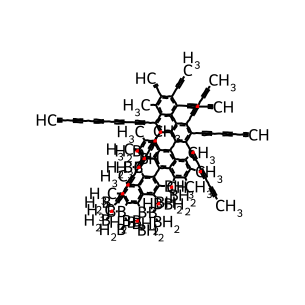 BBB(B)B(B(B)B)c1c(B(B(B)B)B(B)B)c(C)c(C)c2c(B(B)BB)c(-c3c4c(C)c(C)c(C)c(C)c4c(-c4c(C#CC#CC#CC)c(C#CC#CC#C)c(C#CC#CC)c5c4c(C#CC#CC#CC#CC)c(C#CC#CC#CC#CC#C)c4c(C)c(C#C)c(C#CC)c(C#CC#C)c45)c4c(C)c(C)c(C)c(C)c34)c(BB)c(B)c12